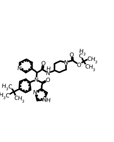 CC(C)(C)OC(=O)N1CCC(NC(=O)C(c2cccnc2)N(C(=O)c2c[nH]cn2)c2ccc(C(C)(C)C)cc2)CC1